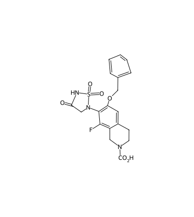 O=C1CN(c2c(OCc3ccccc3)cc3c(c2F)CN(C(=O)O)CC3)S(=O)(=O)N1